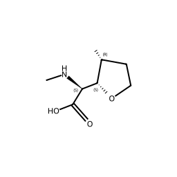 CN[C@H](C(=O)O)[C@H]1OCC[C@H]1C